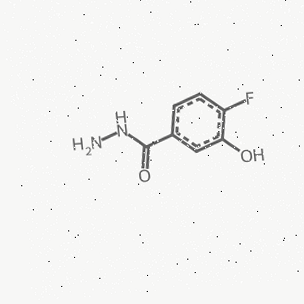 NNC(=O)c1ccc(F)c(O)c1